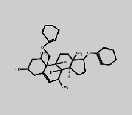 CC1C=C2CC(O)CC(C)[C@]2(COC2=CCCCC2)[C@@H]2CC[C@]3(C)C(OC4=CCCCC4)CC[C@H]3[C@H]12